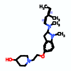 C/C=C(C)\C=C/N(C)C1Cc2cc(OCCN3CCC(O)CC3)ccc2N1C